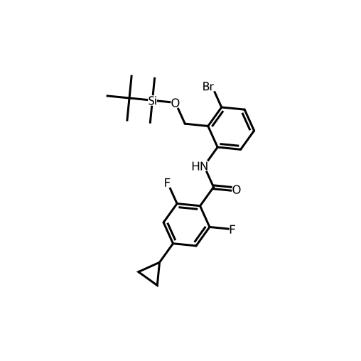 CC(C)(C)[Si](C)(C)OCc1c(Br)cccc1NC(=O)c1c(F)cc(C2CC2)cc1F